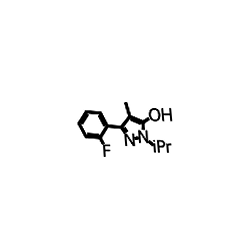 Cc1c(-c2ccccc2F)nn(C(C)C)c1O